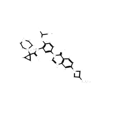 CNC1CN(c2ccc3c(=O)n(-c4ccc(OC(F)F)c(NC(=O)C5(N6CCOCC6)CC5)c4)cnc3c2)C1